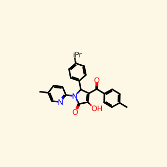 Cc1ccc(C(=O)C2=C(O)C(=O)N(c3ccc(C)cn3)C2c2ccc(C(C)C)cc2)cc1